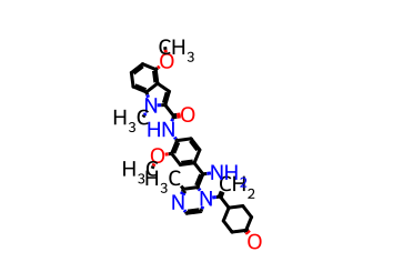 C=C(C1CCC(=O)CC1)N1C=CN=C(C)/C1=C(/N)c1ccc(NC(=O)c2cc3c(OC)cccc3n2C)c(OC)c1